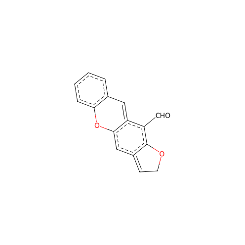 O=Cc1c2c(cc3c1=Cc1ccccc1O3)=CCO2